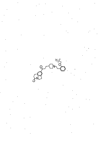 CCOc1ccccc1CCN1CCC(CCC(=O)c2cc3c4c(c2)CCN4C(=O)CC3)CC1